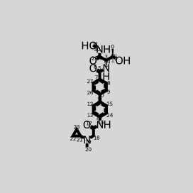 C[C@@H](O)[C@H](NC(=O)c1ccc(-c2ccc(NC(=O)CN(C)C3CC3)cc2)cc1)C(=O)NO